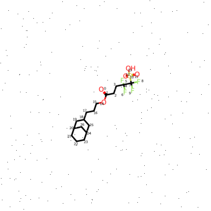 O=C(CCC(F)(F)C(F)(F)S(=O)(=O)O)OCCCC1CC2CCCC(C1)C2